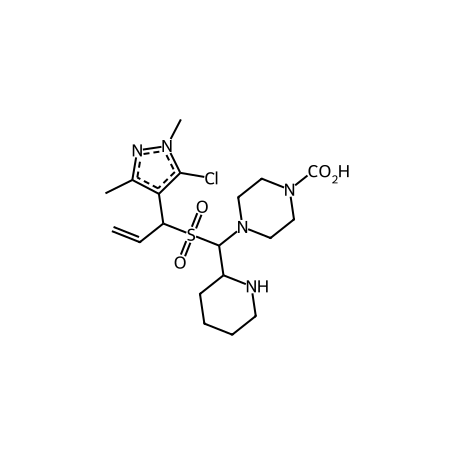 C=CC(c1c(C)nn(C)c1Cl)S(=O)(=O)C(C1CCCCN1)N1CCN(C(=O)O)CC1